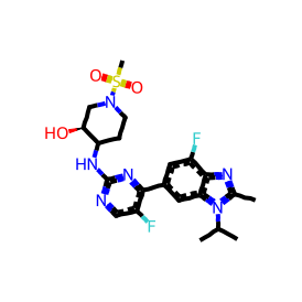 Cc1nc2c(F)cc(-c3nc(NC4CCN(S(C)(=O)=O)C[C@@H]4O)ncc3F)cc2n1C(C)C